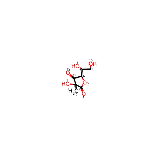 CC1(O)C(=O)OC(C(O)CO)C1=O